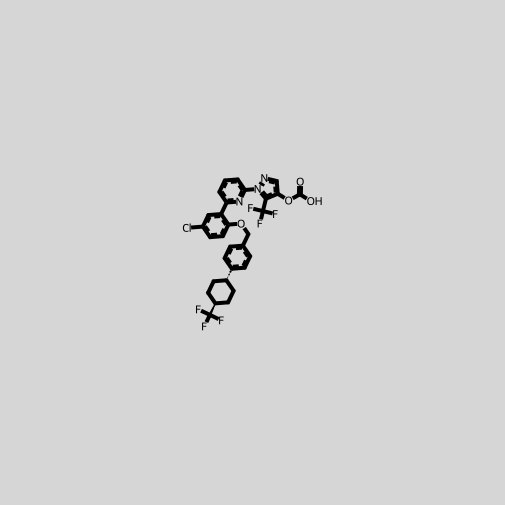 O=C(O)Oc1cnn(-c2cccc(-c3cc(Cl)ccc3OCc3ccc([C@H]4CC[C@H](C(F)(F)F)CC4)cc3)n2)c1C(F)(F)F